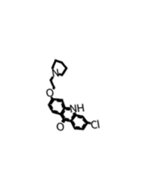 O=c1c2ccc(Cl)cc2[nH]c2cc(OCCN3CCCCC3)ccc12